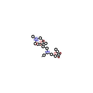 Cc1ccc(-c2cc(-c3ccc(-c4cccc5c4Oc4c(ccc6ccccc46)C54c5ccccc5-c5ccccc54)cc3)nc(-c3cccc(-c4cccc5c4-c4ccccc4C54c5cccc(-c6cccc(-c7nc(-c8ccccc8)nc(-c8ccccc8)n7)c6)c5Oc5c4ccc4ccccc54)c3)n2)cc1